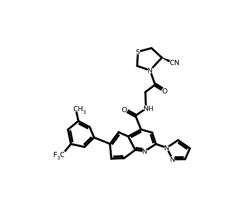 Cc1cc(-c2ccc3nc(-n4cccn4)cc(C(=O)NCC(=O)N4CSC[C@H]4C#N)c3c2)cc(C(F)(F)F)c1